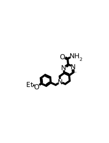 CCOc1cccc(CN2CCc3[c]nc(C(N)=O)nc3C2)c1